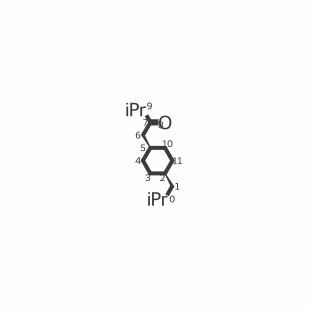 CC(C)C[C@H]1CC[C@@H](CC(=O)C(C)C)CC1